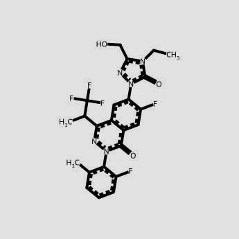 CCn1c(CO)nn(-c2cc3c(C(C)C(F)(F)F)nn(-c4c(C)cccc4F)c(=O)c3cc2F)c1=O